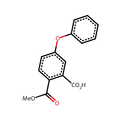 COC(=O)c1ccc(Oc2ccccc2)cc1C(=O)O